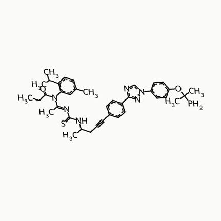 CCC(=O)N(/C(C)=N/C(=S)NC(C)CC#Cc1ccc(-c2ncn(-c3ccc(OC(C)(C)P)cc3)n2)cc1)c1cc(C)ccc1C(C)C